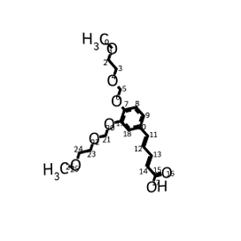 COCCOCOc1ccc(C=CC=CC(=O)O)cc1OCOCCOC